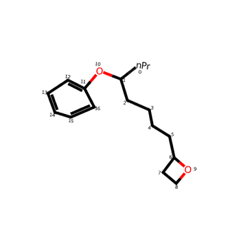 CCCC(CCCCC1CCO1)Oc1ccccc1